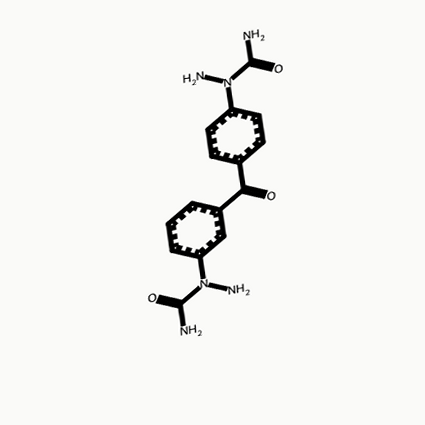 NC(=O)N(N)c1ccc(C(=O)c2cccc(N(N)C(N)=O)c2)cc1